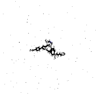 C=N/C=C\N1Cc2cc(-c3ccc(C#N)cc3)cn2Cc2cc(N(C)CCCC=O)ccc21